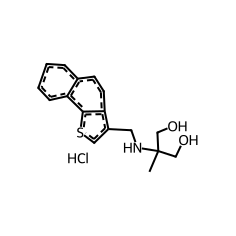 CC(CO)(CO)NCc1csc2c1ccc1ccccc12.Cl